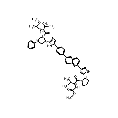 C=C(N[C@H](C(=O)N1C[C@H](c2ccccc2)C[C@H]1c1ncc(-c2ccc(-c3ccc4cc(-c5c[nH]c([C@@H]6CCCN6C(=O)[C@@H](NC(=O)OC)C(C)C)n5)ccc4c3)cc2)[nH]1)C(C)C)OC